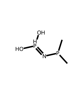 CP(C)N=[PH](O)O